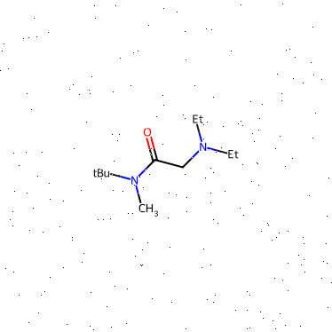 CCN(CC)CC(=O)N(C)C(C)(C)C